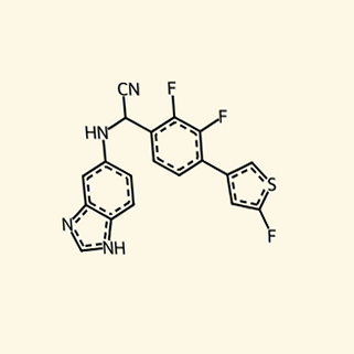 N#CC(Nc1ccc2[nH]cnc2c1)c1ccc(-c2csc(F)c2)c(F)c1F